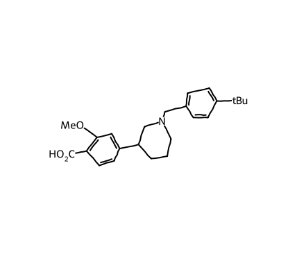 COc1cc(C2CCCN(Cc3ccc(C(C)(C)C)cc3)C2)ccc1C(=O)O